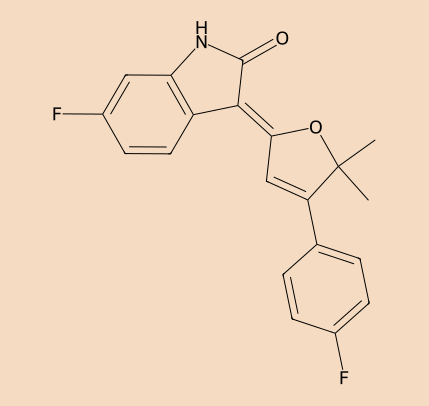 CC1(C)OC(=C2C(=O)Nc3cc(F)ccc32)C=C1c1ccc(F)cc1